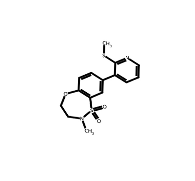 CSc1ncccc1-c1ccc2c(c1)S(=O)(=O)N(C)CCO2